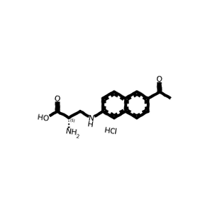 CC(=O)c1ccc2cc(NC[C@H](N)C(=O)O)ccc2c1.Cl